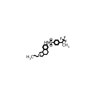 CCCN1CC2CCc3cc(NS(=O)(=O)c4ccc(C(C)C(F)(F)F)cc4)ccc3C2C1